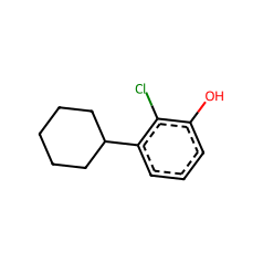 Oc1cccc(C2CCCCC2)c1Cl